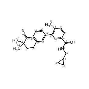 Cc1ccc(C(=O)NCC2CC2)cc1-c1ccc2c(c1)CCC(C)(C)C2=O